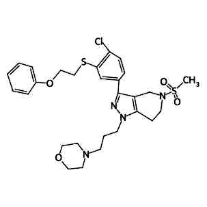 CS(=O)(=O)N1CCc2c(c(-c3ccc(Cl)c(SCCOc4ccccc4)c3)nn2CCCN2CCOCC2)C1